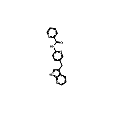 O=C(Nc1ccc(Cc2c[nH]c3ncccc23)cn1)c1ccccn1